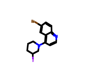 Brc1ccc2nccc(N3CCCC(I)C3)c2c1